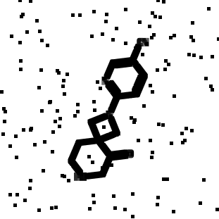 N#Cc1ccc(N2CC3(CCNCC3=O)C2)nc1